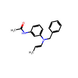 CC=CN(Cc1ccccc1)c1cccc(NC(C)=O)c1